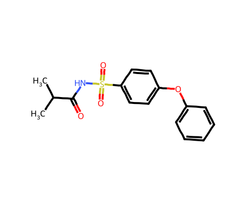 CC(C)C(=O)NS(=O)(=O)c1ccc(Oc2ccccc2)cc1